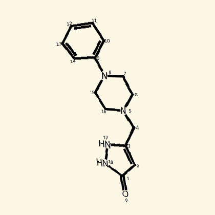 O=c1cc(CN2CCN(c3ccccc3)CC2)[nH][nH]1